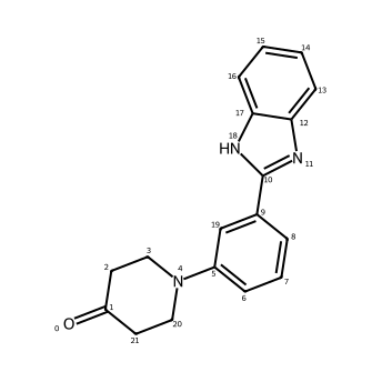 O=C1CCN(c2cccc(-c3nc4ccccc4[nH]3)c2)CC1